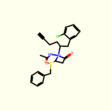 C#CCCC(Cc1ccccc1Cl)[N+]1(NC(C)=O)C(=O)CC1[S+]([O-])Cc1ccccc1